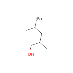 CCC(C)C(C)CC(C)CO